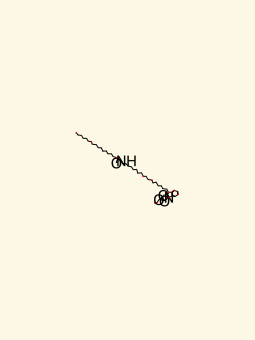 CCCCCCCCCCCCCCCCCC(=O)NCCCCCCCCCCCCCCCCCCc1c(OC(=O)OCC)n(C)c2ccccc12